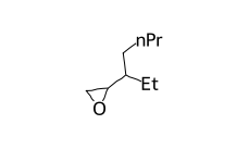 CCCCC(CC)C1CO1